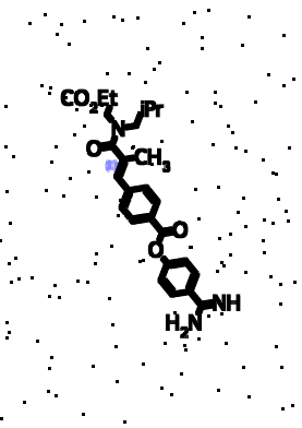 CCOC(=O)CN(CC(C)C)C(=O)/C(C)=C/c1ccc(C(=O)Oc2ccc(C(=N)N)cc2)cc1